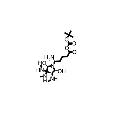 CNN1[C@@H](O)N([C@H](N)CCCC(=O)OC(=O)OC(C)(C)C)[C@@H](O)C1(NC)NC